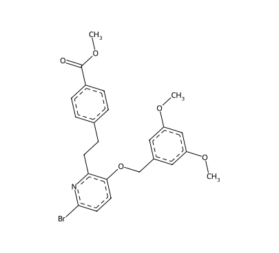 COC(=O)c1ccc(CCc2nc(Br)ccc2OCc2cc(OC)cc(OC)c2)cc1